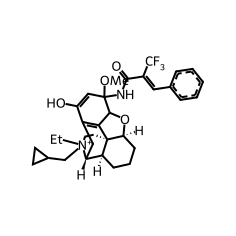 CC[N+]1(CC2CC2)CC[C@@]23C4=C5C[C@@H]1[C@@H]2CCC[C@@H]3OC4C(NC(=O)C(=Cc1ccccc1)C(F)(F)F)(OC)C=C5O